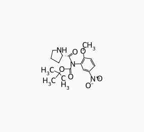 COc1ccc([N+](=O)[O-])cc1N(C(=O)OC(C)(C)C)C(=O)[C@@H]1CCCN1